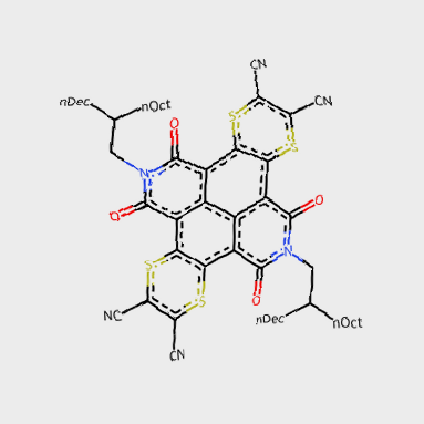 CCCCCCCCCCC(CCCCCCCC)Cn1c(=O)c2c3sc(C#N)c(C#N)sc3c3c(=O)n(CC(CCCCCCCC)CCCCCCCCCC)c(=O)c4c5sc(C#N)c(C#N)sc5c(c1=O)c2c34